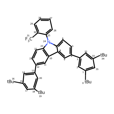 CC(C)(C)c1cc(-c2ccc3c(c2)c2cc(-c4cc(C(C)(C)C)cc(C(C)(C)C)c4)ccc2n3-c2ccccc2C(F)(F)F)cc(C(C)(C)C)c1